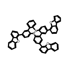 c1ccc2c(c1)-c1cc(-c3cccc4c3oc3ccccc34)ccc1B1c3ccc(-c4cccc5c4oc4ccccc45)cc3-c3cc(-c4cccc5c4oc4ccccc45)ccc3N12